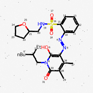 CCCCC(CC)Cn1c(O)c(/N=N/c2ccccc2S(=O)(=O)NCC2CCCO2)c(C)c(C)c1=O